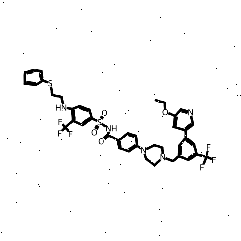 CCOc1cncc(-c2cc(CN3CCN(c4ccc(C(=O)NS(=O)(=O)c5ccc(NCCSc6ccccc6)c(C(F)(F)F)c5)cc4)CC3)cc(C(F)(F)F)c2)c1